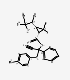 CC1(C)[C@H](C(=O)OC(C#N)(Oc2ccc(Br)cc2)c2ccccc2)[C@@H]1C(Br)C(Br)(Br)Br